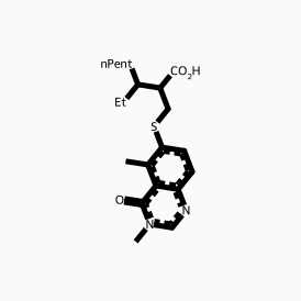 CCCCCC(CC)C(CSc1ccc2ncn(C)c(=O)c2c1C)C(=O)O